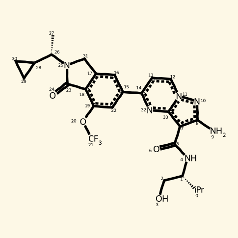 CC(C)[C@H](CO)NC(=O)c1c(N)nn2ccc(-c3cc4c(c(OC(F)(F)F)c3)C(=O)N([C@@H](C)C3CC3)C4)nc12